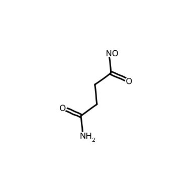 NC(=O)CCC(=O)N=O